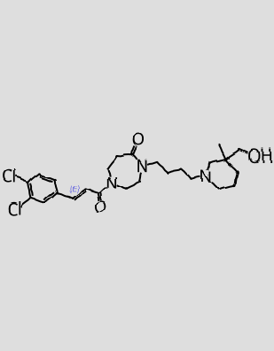 CC1(CO)CCCN(CCCCN2CCN(C(=O)/C=C/c3ccc(Cl)c(Cl)c3)CCC2=O)C1